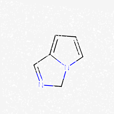 C1=NCn2cccc21